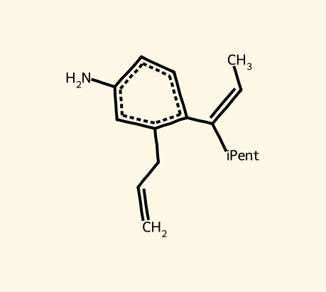 C=CCc1cc(N)ccc1/C(=C\C)C(C)CCC